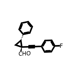 O=C[C@@]1(C#Cc2ccc(F)cc2)C[C@@H]1c1ccccc1